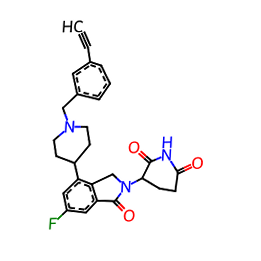 C#Cc1cccc(CN2CCC(c3cc(F)cc4c3CN(C3CCC(=O)NC3=O)C4=O)CC2)c1